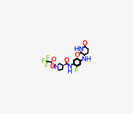 O=C1CCC(Nc2ccc(NC(=O)[C@H]3CCN(OC(=O)C(F)(F)F)C3)c(F)c2)C(=O)N1